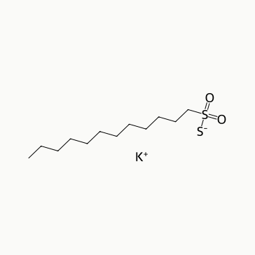 CCCCCCCCCCCCS(=O)(=O)[S-].[K+]